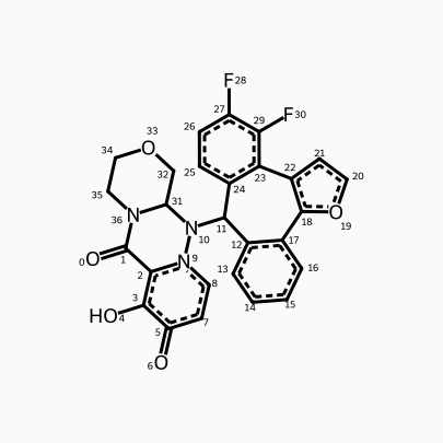 O=C1c2c(O)c(=O)ccn2N(C2c3ccccc3-c3occc3-c3c2ccc(F)c3F)C2COCCN12